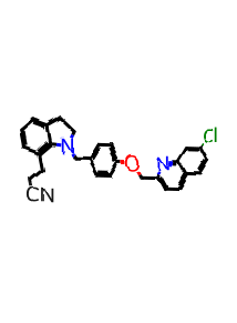 N#CCCc1cccc2c1N(Cc1ccc(OCc3ccc4ccc(Cl)cc4n3)cc1)CC2